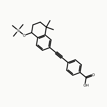 CC1(C)CCC(O[Si](C)(C)C)c2ccc(C#Cc3ccc(C(=O)O)cc3)cc21